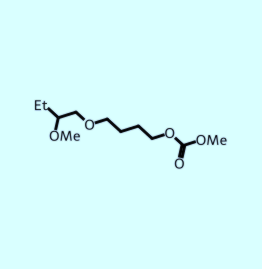 CCC(COCCCCOC(=O)OC)OC